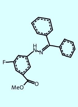 COC(=O)c1cc(F)cc(NN=C(c2ccccc2)c2ccccc2)c1